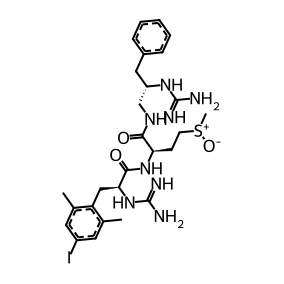 Cc1cc(I)cc(C)c1C[C@H](NC(=N)N)C(=O)N[C@H](CC[S+](C)[O-])C(=O)NC[C@H](Cc1ccccc1)NC(=N)N